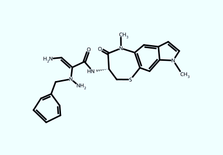 CN1C(=O)[C@@H](NC(=O)/C(=C/N)N(N)Cc2ccccc2)CSc2cc3c(ccn3C)cc21